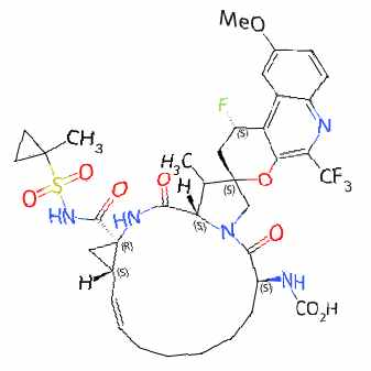 COc1ccc2nc(C(F)(F)F)c3c(c2c1)[C@@H](F)C[C@]1(CN2C(=O)[C@@H](NC(=O)O)CCCCCC=C[C@@H]4C[C@@]4(C(=O)NS(=O)(=O)C4(C)CC4)NC(=O)[C@@H]2C1C)O3